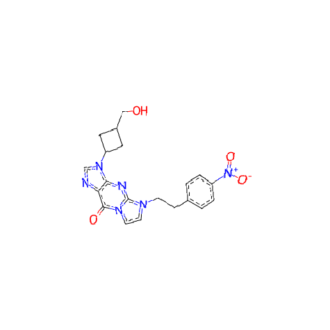 O=c1c2ncn(C3CC(CO)C3)c2nc2n(CCc3ccc([N+](=O)[O-])cc3)ccn12